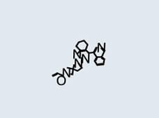 C=CC(=O)N1CC2(CCN(c3nc4c(c(-c5cncc6ccccc56)n3)CCCC4)C2)C1